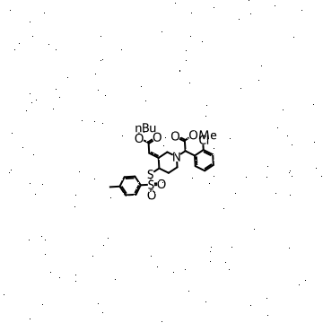 CCCCOC(=O)/C=C1\CN(C(C(=O)OC)c2ccccc2Cl)CCC1SS(=O)(=O)c1ccc(C)cc1